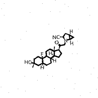 C[C@@]1(O)CC[C@]2(F)C3CC[C@]4(C)[C@@H](C(=O)CN5[C@@H]6C[C@@H]6C[C@@H]5C#N)CC[C@H]4[C@@H]3CC[C@@H]2C1